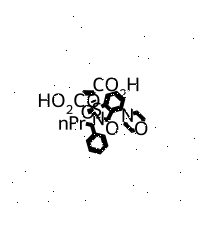 CCCC(c1ccccc1)N1C(=O)c2c(N3CCOCC3)cccc2S1(=O)=O.O=C(O)/C=C/C(=O)O